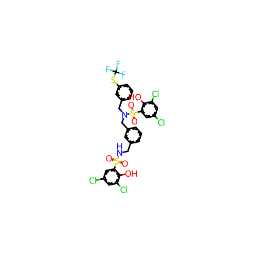 O=S(=O)(NCc1cccc(CN(Cc2cccc(SC(F)(F)F)c2)S(=O)(=O)c2cc(Cl)cc(Cl)c2O)c1)c1cc(Cl)cc(Cl)c1O